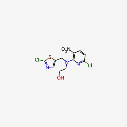 O=[N+]([O-])c1ccc(Cl)nc1N(CCO)Cc1cnc(Cl)s1